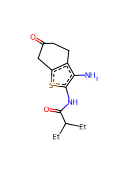 CCC(CC)C(=O)Nc1sc2c(c1N)CCC(=O)C2